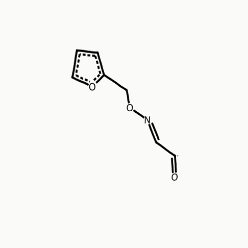 O=[C]C=NOCc1ccco1